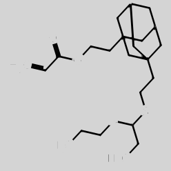 C=CC(=O)OCCC12CC3CC(C1)CC(CCSC(CC)SCCC)(C3)C2